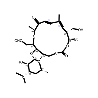 CC[C@H]1OC(=O)CC[C@H](C)[C@@H](O[C@@H]2O[C@H](C)C[C@H](N(C)C)[C@H]2O)[C@@H](CC=O)C[C@@H](C)C(=O)/C=C/C(C)=C/[C@@H]1CO